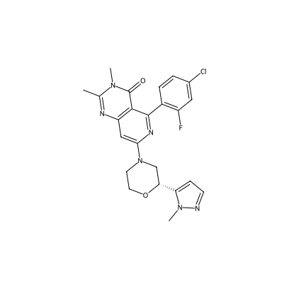 Cc1nc2cc(N3CCO[C@@H](c4ccnn4C)C3)nc(-c3ccc(Cl)cc3F)c2c(=O)n1C